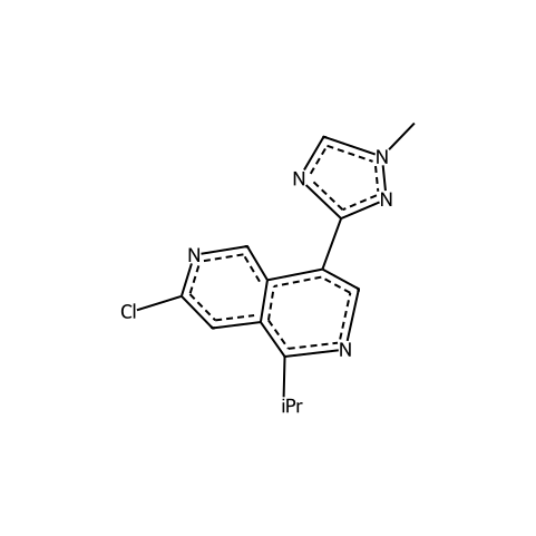 CC(C)c1ncc(-c2ncn(C)n2)c2cnc(Cl)cc12